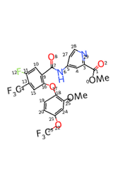 COC(=O)c1cc(NC(=O)c2cc(F)c(C(F)(F)F)cc2Oc2ccc(OC(F)(F)F)cc2OC)ccn1